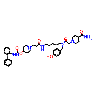 NC(=O)C1CCN(CC(=O)N(CCCCCNC(=O)CCN2CCC(OC(=O)Nc3ccccc3-c3ccccc3)CC2)Cc2ccc(O)cc2)CC1